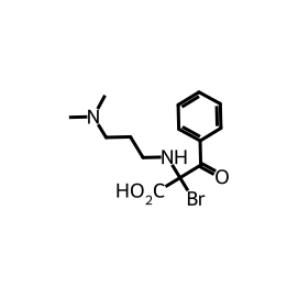 CN(C)CCCNC(Br)(C(=O)O)C(=O)c1ccccc1